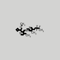 C/C=c1\ccnc(C(COCC)=C2CCC2)\c1=C\NCc1cc(C)c(CCC(F)(F)C(C)F)cn1